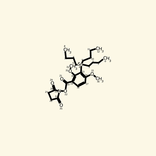 CCC[CH2][Sn]([CH2]CCC)([CH2]CCC)[c]1c(OC)ccc(C(=O)ON2C(=O)CCC2=O)c1OC